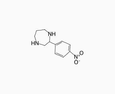 O=[N+]([O-])c1ccc(C2CNCCCN2)cc1